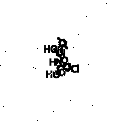 Cc1ccc(C)c(-n2nc(C(=O)NC(CC(=O)O)c3ccc(Cl)cc3)cc2O)c1